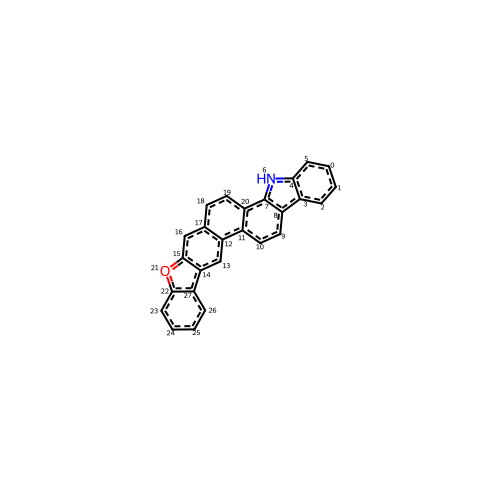 c1ccc2c(c1)[nH]c1c2ccc2c3cc4c(cc3ccc21)oc1ccccc14